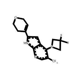 FC1(F)CN(c2c(C(F)(F)F)cnc3[nH]c(C4=CCOCC4)cc23)C1